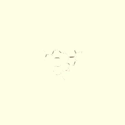 Cc1nc(Nc2cc(N[C@@H]3CCCC[C@@H]3N)cnc2C(N)=O)ccc1C(N)=O